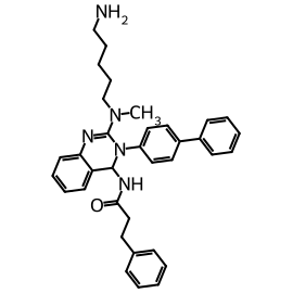 CN(CCCCCN)C1=Nc2ccccc2C(NC(=O)CCc2ccccc2)N1c1ccc(-c2ccccc2)cc1